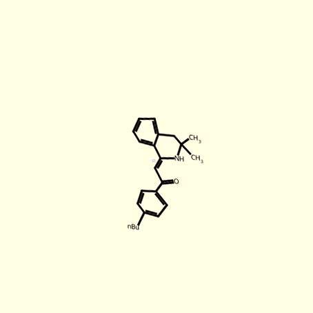 CCCCc1ccc(C(=O)/C=C2\NC(C)(C)Cc3ccccc32)cc1